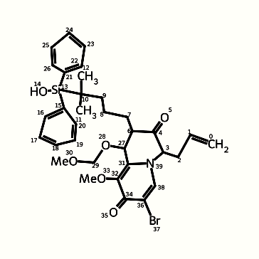 C=CCC1C(=O)C(CCCC(C)(C)[Si](O)(c2ccccc2)c2ccccc2)C(OCOC)c2c(OC)c(=O)c(Br)cn21